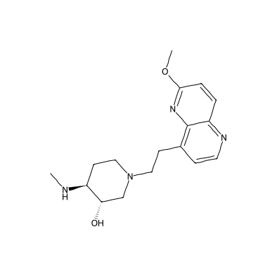 CN[C@H]1CCN(CCc2ccnc3ccc(OC)nc23)C[C@@H]1O